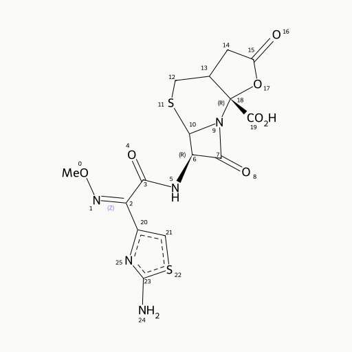 CO/N=C(\C(=O)N[C@@H]1C(=O)N2C1SCC1CC(=O)O[C@@]12C(=O)O)c1csc(N)n1